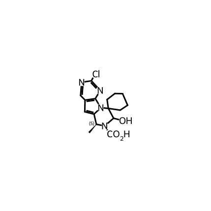 C[C@H]1c2cc3cnc(Cl)nc3n2C2(CCCCC2)C(O)N1C(=O)O